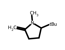 C=C1CCC(C(C)(C)C)N1C